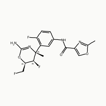 Cc1nc(C(=O)Nc2ccc(F)c([C@@]3(C)N=C(N)O[C@H](CF)[C@@H]3F)c2)co1